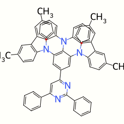 Cc1ccc2c(c1)c1cc(C)ccc1n2-c1cc(-c2cc(-c3ccccc3)nc(-c3ccccc3)n2)cc(-n2c3ccc(C)cc3c3cc(C)ccc32)c1N(c1ccccc1)c1ccccc1